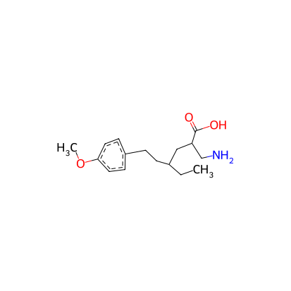 CCC(CCc1ccc(OC)cc1)CC(CN)C(=O)O